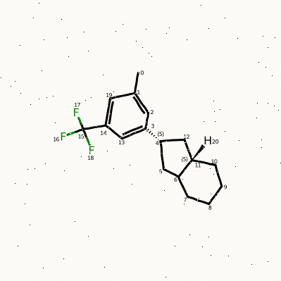 Cc1cc([C@H]2CC3CCCC[C@H]3C2)cc(C(F)(F)F)c1